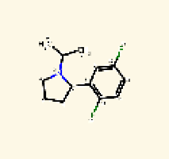 CC(C)N1CCC[C@@H]1c1cc(F)ccc1F